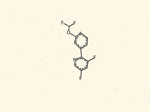 Fc1cnc(-c2cc[c]c(OC(F)F)c2)c(F)c1